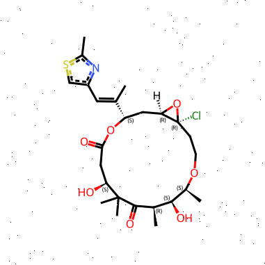 CC(=Cc1csc(C)n1)[C@@H]1C[C@H]2O[C@@]2(Cl)CCO[C@@H](C)[C@@H](O)[C@@H](C)C(=O)C(C)(C)[C@@H](O)CC(=O)O1